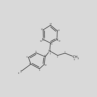 CCCN(c1ccc(I)cc1)c1ncccn1